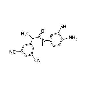 CC(C(=O)Nc1ccc(N)c(S)c1)c1cc(C#N)cc(C#N)c1